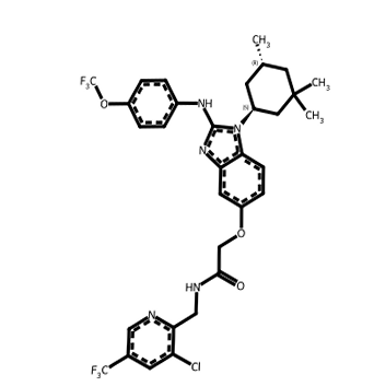 C[C@H]1C[C@H](n2c(Nc3ccc(OC(F)(F)F)cc3)nc3cc(OCC(=O)NCc4ncc(C(F)(F)F)cc4Cl)ccc32)CC(C)(C)C1